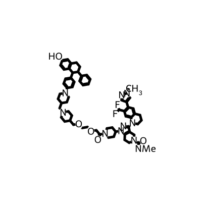 CNC(=O)N1CCc2c(c(N3CCCc4cc(-c5cnn(C)c5)c(C(F)F)cc43)nn2C2CCN(C(=O)COCCOCC3CCN(CC4CCN(c5ccc(C6c7ccc(O)cc7CCC6c6ccccc6)cc5)CC4)CC3)CC2)C1